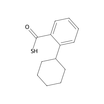 O=C(S)c1ccccc1C1CCCCC1